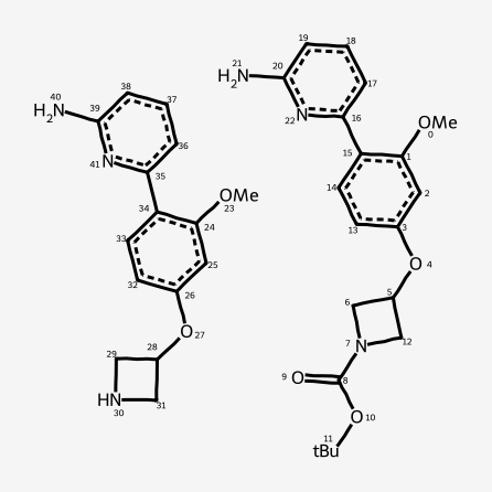 COc1cc(OC2CN(C(=O)OC(C)(C)C)C2)ccc1-c1cccc(N)n1.COc1cc(OC2CNC2)ccc1-c1cccc(N)n1